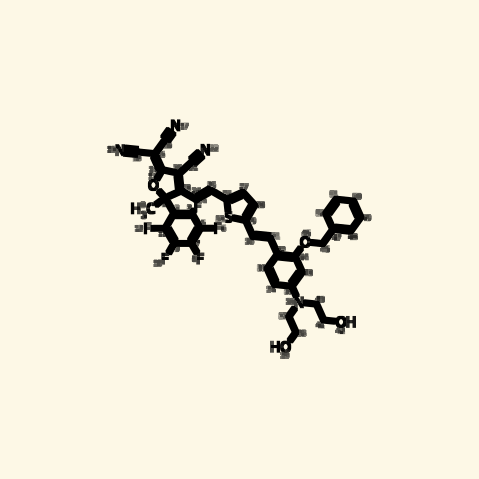 CC1(c2c(F)c(F)c(F)c(F)c2F)OC(=C(C#N)C#N)C(C#N)=C1/C=C/c1ccc(/C=C/c2ccc(N(CCO)CCO)cc2OCc2ccccc2)s1